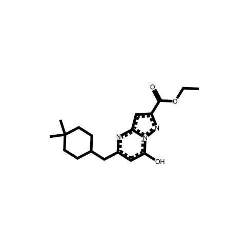 CCOC(=O)c1cc2nc(CC3CCC(C)(C)CC3)cc(O)n2n1